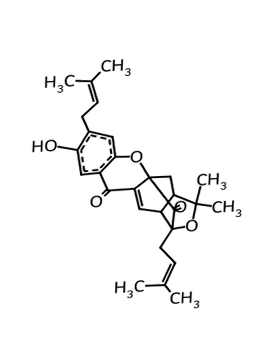 CC(C)=CCc1cc2c(cc1O)C(=O)C1=CC3C4CC1(O2)C(=O)C3(CC=C(C)C)OC4(C)C